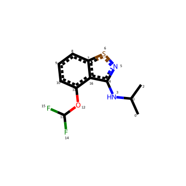 CC(C)Nc1nsc2cccc(OC(F)F)c12